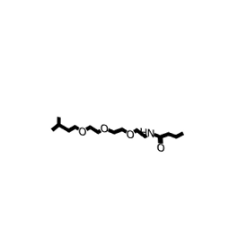 CCCC(=O)NCCOCCOCCOCCC(C)C